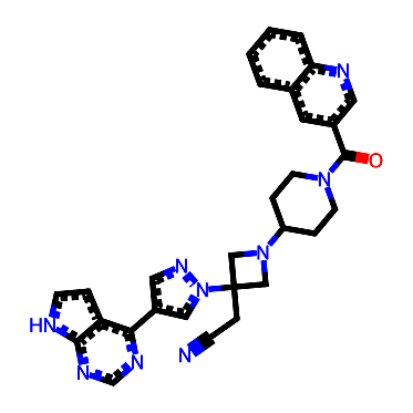 N#CCC1(n2cc(-c3ncnc4[nH]ccc34)cn2)CN(C2CCN(C(=O)c3cnc4ccccc4c3)CC2)C1